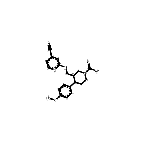 COc1ccc(C2CCN(C(=O)O)CC2COc2cc(C#N)ccn2)cc1